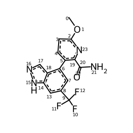 COc1ccc(-c2cc(C(F)(F)F)cc3[nH]ncc23)c(C(N)=O)n1